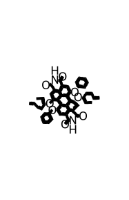 C=C/C=C\C(=C/C)Oc1cc2c3c(cc(Oc4ccccc4)c4c5c(OC(/C=C\C=C)=C/C)cc6c7c(cc(Oc8ccccc8)c(c1c34)c75)C(=O)NC6=O)C(=O)NC2=O